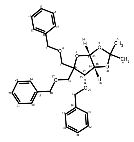 CC1(C)O[C@H]2OC(COCc3ccccc3)(COCc3ccccc3)[C@@H](OCc3ccccc3)[C@H]2O1